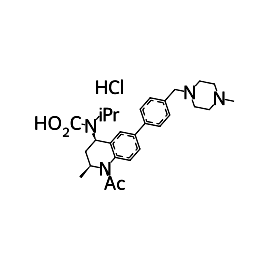 CC(=O)N1c2ccc(-c3ccc(CN4CCN(C)CC4)cc3)cc2[C@H](N(C(=O)O)C(C)C)C[C@@H]1C.Cl